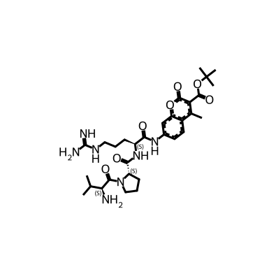 Cc1c(C(=O)OC(C)(C)C)c(=O)oc2cc(NC(=O)[C@H](CCCNC(=N)N)NC(=O)[C@@H]3CCCN3C(=O)[C@@H](N)C(C)C)ccc12